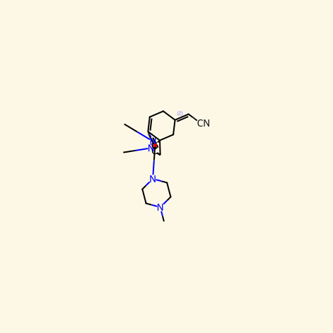 CN1CCN(C2=C3CN(C)CC34C/C(=C\C#N)CC=C4N(C)C=C2)CC1